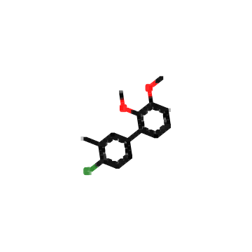 [CH2]c1cc(-c2cc[c]c(OC)c2OC)ccc1Cl